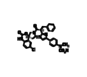 CN(C(=O)O)c1ccc(-c2c[nH]c([C@H](Cc3ccccc3)C(=O)N3CC[C@@]4(C3)OC(=O)Nc3ccc(Cl)cc34)n2)cc1